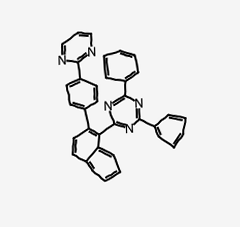 c1ccc(-c2nc(-c3ccccc3)nc(-c3c(-c4ccc(-c5ncccn5)cc4)ccc4ccccc34)n2)cc1